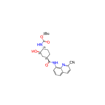 CC(C)(C)OC(=O)N[C@@H]1CC[C@@H](C(=O)Nc2cccc3ccc(C#N)nc23)C[C@H]1O